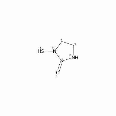 O=C1NCCN1S